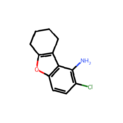 Nc1c(Cl)ccc2oc3c(c12)CCCC3